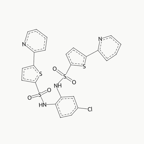 O=S(=O)(Nc1ccc(Cl)cc1NS(=O)(=O)c1ccc(-c2ccccn2)s1)c1ccc(-c2ccccn2)s1